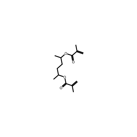 C=C(C)C(=O)OC(C)CCC(C)OC(=O)C(=C)C